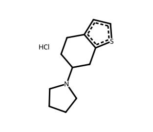 Cl.c1cc2c(s1)CC(N1CCCC1)CC2